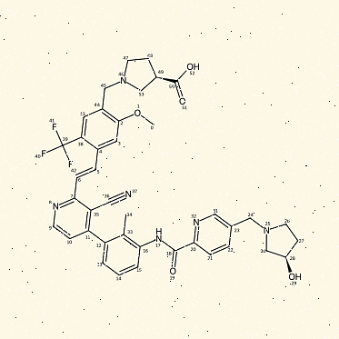 COc1cc(/C=C/c2nccc(-c3cccc(NC(=O)c4ccc(CN5CC[C@@H](O)C5)cn4)c3C)c2C#N)c(C(F)(F)F)cc1CN1CC[C@@H](C(=O)O)C1